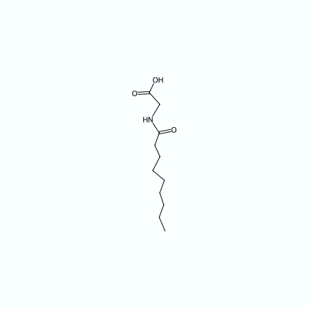 CCCCCCCCC(=O)NCC(=O)O